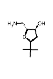 CC(C)(C)C1C[C@H](O)[C@@H](CN)O1